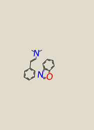 CN(C)C=Cc1ccccc1.c1ccc2ocnc2c1